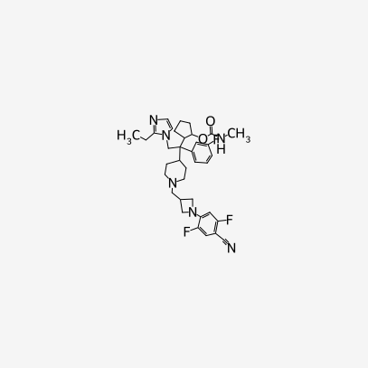 CCc1nccn1CC(c1cccc(F)c1)(C1CCN(CC2CN(c3cc(F)c(C#N)cc3F)C2)CC1)C1CCCC1OC(=O)NC